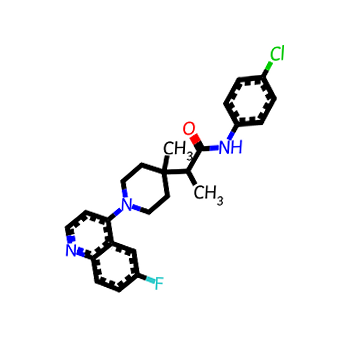 CC(C(=O)Nc1ccc(Cl)cc1)C1(C)CCN(c2ccnc3ccc(F)cc23)CC1